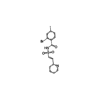 Cc1ccc(C(=O)NS(=O)(=O)C=Cc2ccccn2)c(Br)c1